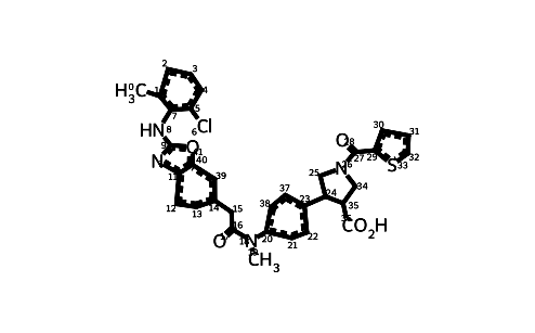 Cc1cccc(Cl)c1Nc1nc2ccc(CC(=O)N(C)c3ccc(C4CN(C(=O)c5cccs5)CC4C(=O)O)cc3)cc2o1